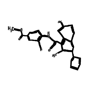 COC(=O)c1ccc(NC(=O)c2c(C)c(-c3ccccc3)cc3ccc(Br)cc23)c(F)c1